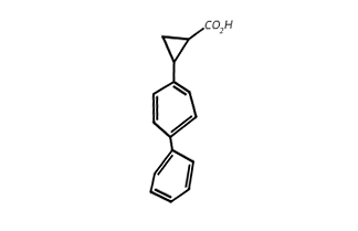 O=C(O)C1CC1c1ccc(-c2ccccc2)cc1